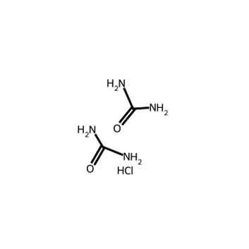 Cl.NC(N)=O.NC(N)=O